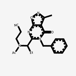 CCC(c1nc2onc(C)c2c(=O)n1Cc1ccccc1)N(CCC#N)C(C)=O